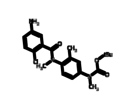 Cc1cc(N(C)C(=O)OC(C)(C)C)ccc1N(C)C(=O)c1cc(N)ccc1Cl